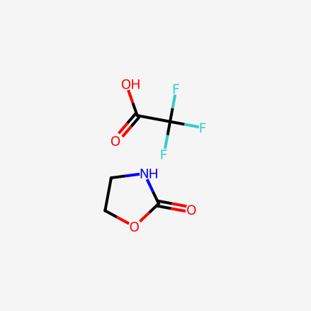 O=C(O)C(F)(F)F.O=C1NCCO1